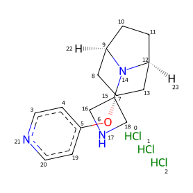 Cl.Cl.Cl.c1cc(O[C@@H]2C[C@H]3CC[C@@H](C2)N3C2CNC2)ccn1